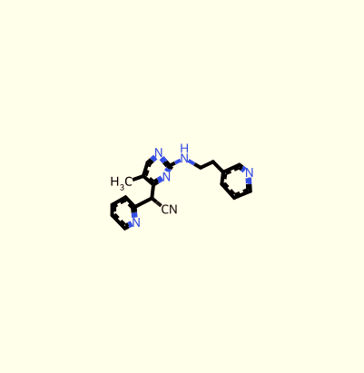 Cc1cnc(NCCc2cccnc2)nc1C(C#N)c1ccccn1